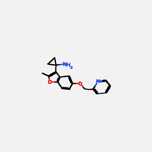 Cc1oc2ccc(OCc3ccccn3)cc2c1C1(N)CC1